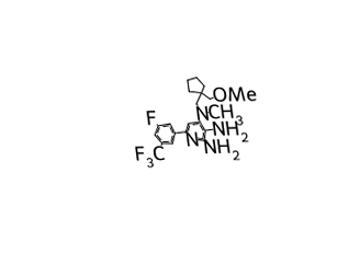 COCC1(CN(C)c2cc(-c3cc(F)cc(C(F)(F)F)c3)nc(N)c2N)CCCC1